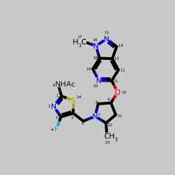 CC(=O)Nc1nc(F)c(CN2CC(Oc3cc4cnn(C)c4cn3)CC2C)s1